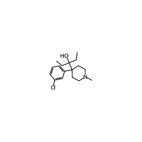 CCC(O)(CC)C1(c2cccc(Cl)c2)CCN(C)CC1